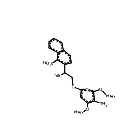 CCCCCCOc1cc(OCC(CCCC)c2ccc3ccccc3c2S(=O)(=O)O)cc(OCCCCCC)c1N